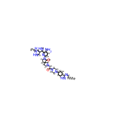 CN/C=N\C(=N)c1ccc(N2CCN(C(=O)CN3CC[C@]4(CCN(c5ccc(N)c(C(=N)/C(C=N)=C/NC(C)C)n5)C4=O)C3)CC2)cc1